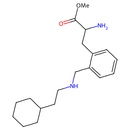 COC(=O)C(N)Cc1ccccc1CNCCC1CCCCC1